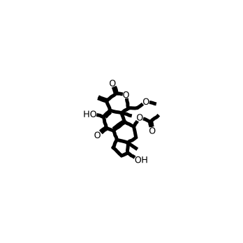 C=C1C(=O)OC(COC)C2(C)C1=C(O)C(=O)C1=C2C(OC(C)=O)CC2(C)C(O)CCC12